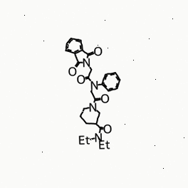 CCN(CC)C(=O)C1CCCN(C(=O)CN(C(=O)CN2C(=O)c3ccccc3C2=O)c2ccccc2)C1